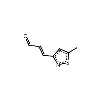 Cc1cc(C=CC=O)ns1